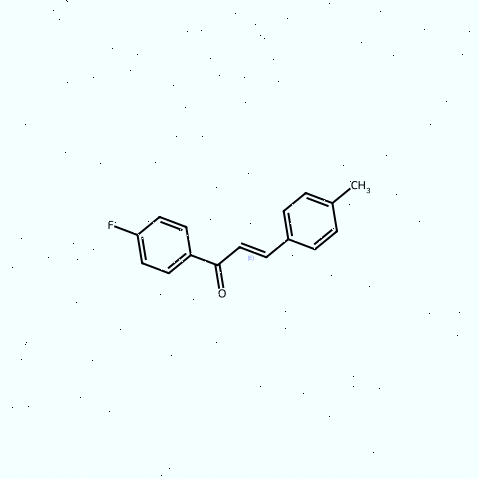 Cc1ccc(/C=C/C(=O)c2ccc(F)cc2)cc1